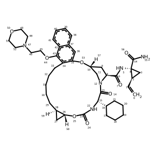 C=C[C@@H]1C[C@]1(NC(=O)[C@@H]1C[C@@H]2CN1C(=O)[C@H](C1CCCCC1)NC(=O)O[C@@H]1C[C@H]1CCCCCc1c(cc3ccccc3c1OCCN1CCOCC1)O2)C(N)=O